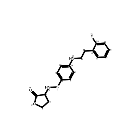 O=C1OCCC1NSc1ccc(NCCc2ccccc2F)cc1